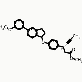 CC#C[C@H](CC(=O)OC)c1ccc(OC2CCc3cc(-c4cccc(OC)c4)ccc32)cc1